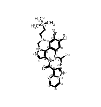 C[Si](C)(C)CCOCn1ncc(NC(=O)c2cnn3cccnc23)c1-c1cc(Br)c(Cl)cc1OC(F)F